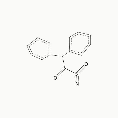 N#S(=O)C(=O)C(c1ccccc1)c1ccccc1